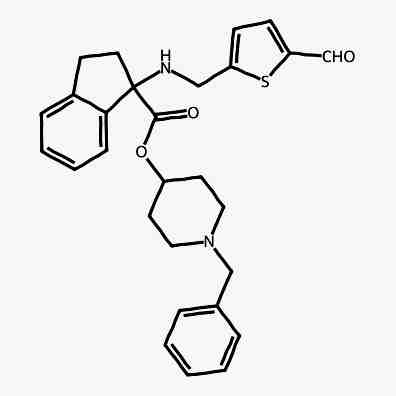 O=Cc1ccc(CNC2(C(=O)OC3CCN(Cc4ccccc4)CC3)CCc3ccccc32)s1